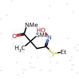 CCSC(CC(C)(SC)C(=O)NC)=NO